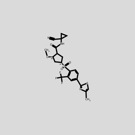 CO[C@@H]1C[C@H](S(=O)(=O)c2ccc(-c3nc(C)cs3)cc2C(F)(F)F)CC1C(=O)NC1(C#N)CC1